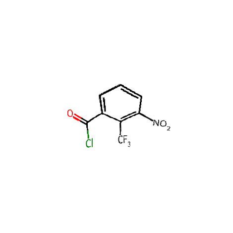 O=C(Cl)c1cccc([N+](=O)[O-])c1C(F)(F)F